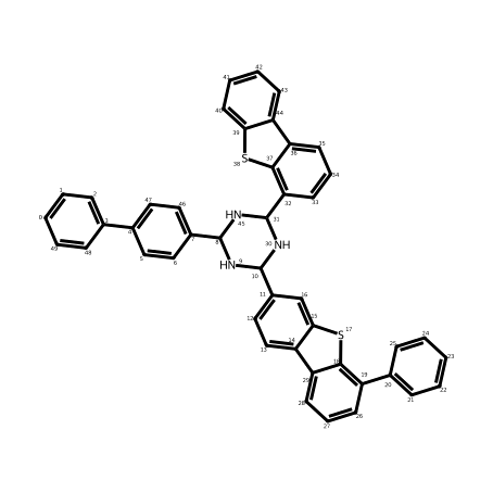 c1ccc(-c2ccc(C3NC(c4ccc5c(c4)sc4c(-c6ccccc6)cccc45)NC(c4cccc5c4sc4ccccc45)N3)cc2)cc1